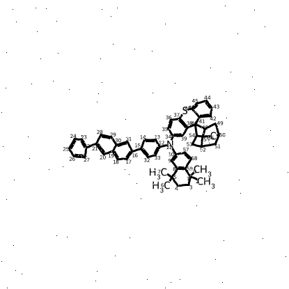 CC1(C)CCC(C)(C)c2cc(N(c3ccc(-c4ccc5cc(-c6ccccc6)ccc5c4)cc3)c3ccc4c(c3)C3(c5ccccc5S4)C4CC5CC6CC3C64C5)ccc21